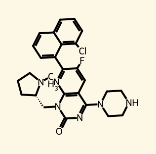 CN1CCC[C@H]1Cn1c(=O)nc(N2CCNCC2)c2cc(F)c(-c3cccc4cccc(Cl)c34)nc21